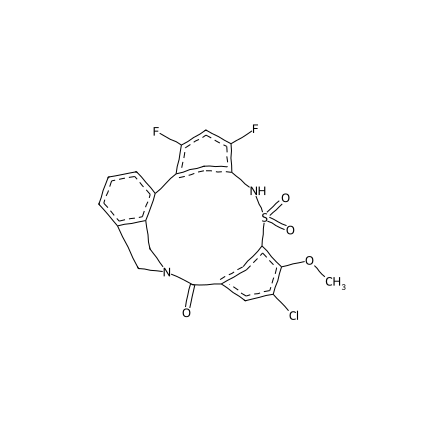 COc1c(Cl)cc2cc1S(=O)(=O)Nc1cc(c(F)cc1F)-c1cccc3c1CN(C3)C2=O